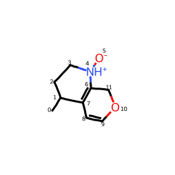 CC1CC[NH+]([O-])C2=C1C=COC2